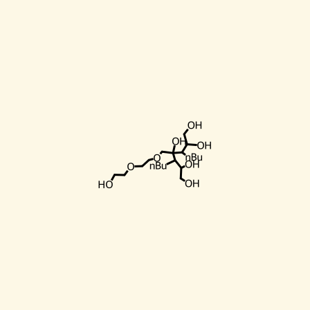 CCCCC(C(O)CO)C(O)(COCCOCCO)C(CCCC)C(O)CO